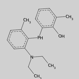 CCN(CC)c1cccc(C)c1Pc1cccc(C)c1O